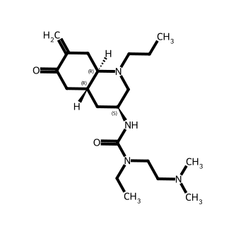 C=C1C[C@@H]2[C@@H](CC1=O)C[C@H](NC(=O)N(CC)CCN(C)C)CN2CCC